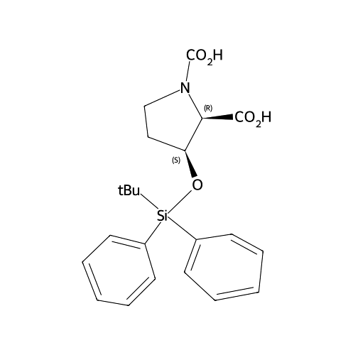 CC(C)(C)[Si](O[C@H]1CCN(C(=O)O)[C@H]1C(=O)O)(c1ccccc1)c1ccccc1